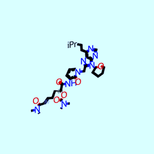 CC(C)CCc1ncnc2c1nc(Cn1cccc(NC(=O)[C@H](CC/C=C/C(=O)N(C)C)OC(=O)N(C)C)c1=O)n2C1CCCCO1